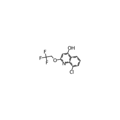 Oc1cc(OCC(F)(F)F)nc2c(Cl)cccc12